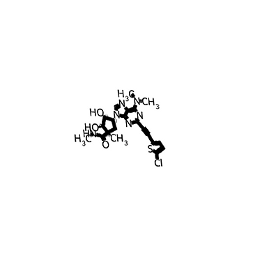 CNC(=O)[C@@]1(C)C[C@@H](n2cnc3c(N(C)C)nc(C#Cc4ccc(Cl)s4)nc32)[C@H](O)[C@@H]1O